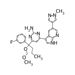 CCCC(OCOC)(c1cccc(F)c1)c1cc(-c2c[nH]c3ncc(-c4cnn(C)c4)cc23)nc(N)n1